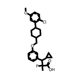 COc1ccc(Cl)c(C2CCC(COc3cccc(C(C4CC4)C(C)(F)C(=O)O)c3)CC2)c1